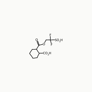 O=C(O)C1CCCCC1C(=O)OCC(F)(F)S(=O)(=O)O